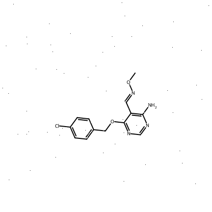 CON=Cc1c(N)ncnc1OCc1ccc(Cl)cc1